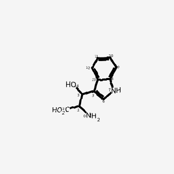 NC(C(=O)O)C(O)c1c[nH]c2ccccc12